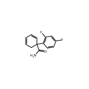 NC(=O)C1(c2ccc(F)cc2F)C=CC=CC1